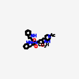 CC(=O)N1CCC2(CC1)CC(C[C@H](NC(=O)[C@H](CC1CCCCC1)NC(=O)c1cc3ccccc3[nH]1)C(=O)O)C(=O)N2